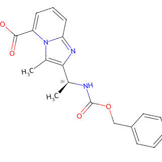 Cc1c([C@H](C)NC(=O)OCc2ccccc2)nc2cccc(C(=O)O)n12